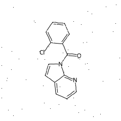 O=C(c1ccccc1Cl)n1ccc2cccnc21